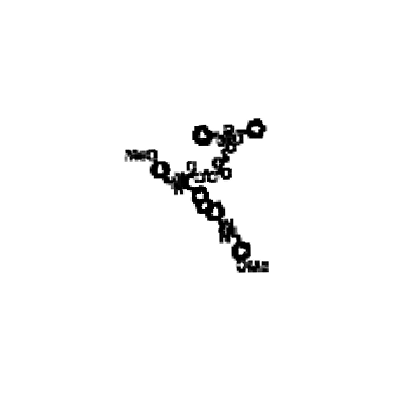 COc1ccc(Cn2ncc(-c3ccc4c(c3)Cc3cc(-c5nn(Cc6ccc(OC)cc6)nc5C(=O)OCOC(=O)OCCOP(=O)(OCc5ccccc5)OCc5ccccc5)ccc3-4)n2)cc1